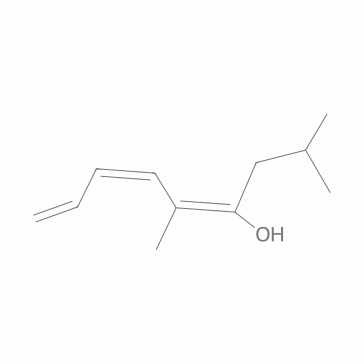 C=C/C=C\C(C)=C(\O)CC(C)C